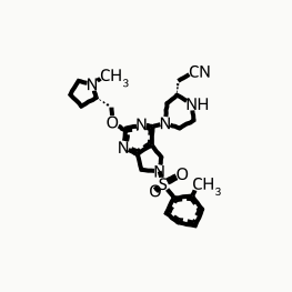 Cc1ccccc1S(=O)(=O)N1Cc2nc(OC[C@@H]3CCCN3C)nc(N3CCN[C@@H](CC#N)C3)c2C1